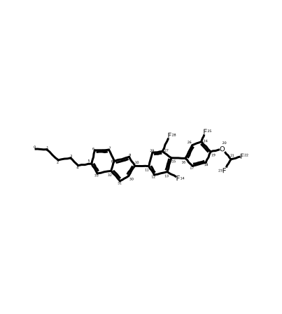 CCCCCc1ccc2cc(-c3cc(F)c(-c4ccc(OC(F)F)c(F)c4)c(F)c3)ccc2c1